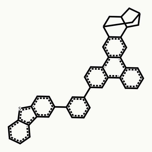 c1cc(-c2ccc3sc4ccccc4c3c2)cc(-c2ccc3c(c2)c2ccccc2c2cc4c(cc32)C2CC3CC(C2)C4C3)c1